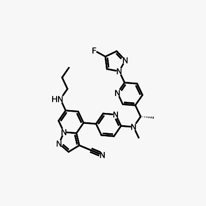 CCCNc1cc(-c2ccc(N(C)[C@@H](C)c3ccc(-n4cc(F)cn4)nc3)nc2)c2c(C#N)cnn2c1